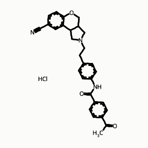 CC(=O)c1ccc(C(=O)Nc2ccc(CCN3CC4COc5ccc(C#N)cc5C4C3)cc2)cc1.Cl